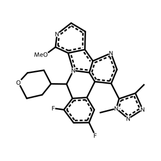 COc1nccc2c3ncc(-c4c(C)nnn4C)c4c3n(c12)C(C1CCOCC1)c1c(F)cc(F)cc1-4